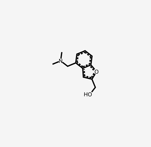 CN(C)Cc1cccc2oc(CO)cc12